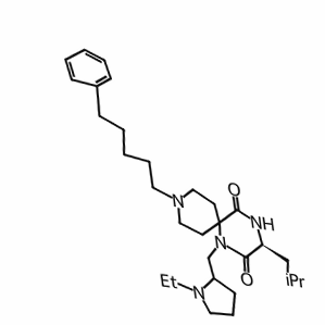 CCN1CCCC1CN1C(=O)[C@H](CC(C)C)NC(=O)C12CCN(CCCCCc1ccccc1)CC2